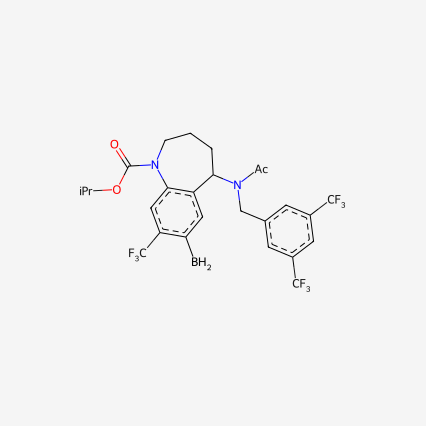 Bc1cc2c(cc1C(F)(F)F)N(C(=O)OC(C)C)CCCC2N(Cc1cc(C(F)(F)F)cc(C(F)(F)F)c1)C(C)=O